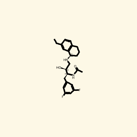 CCc1ccc2c(c1)[C@H](NC[C@H](O)[C@H](Cc1cc(F)cc(F)c1)NC(C)=O)CCC2